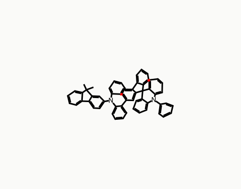 CC1(C)c2ccccc2-c2ccc(N(c3ccccc3)c3ccccc3-c3ccc4c(c3)C3(c5ccccc5-4)c4ccccc4N(c4ccccc4)c4ccccc43)cc21